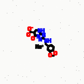 O=C([O-])c1c[nH]c2nc(NCc3ccc4c(c3)OCO4)nn2c1=O.[Na+]